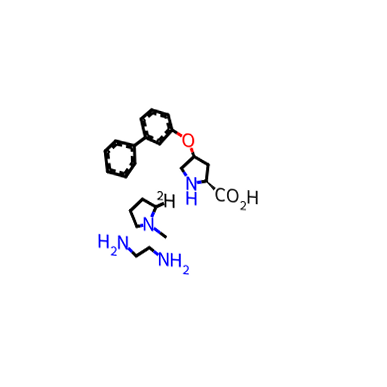 NCCN.O=C(O)[C@@H]1CC(Oc2cccc(-c3ccccc3)c2)CN1.[2H]C1CCCN1C